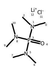 CN(C)P(=O)(N(C)C)N(C)C.[Cl-].[Li+]